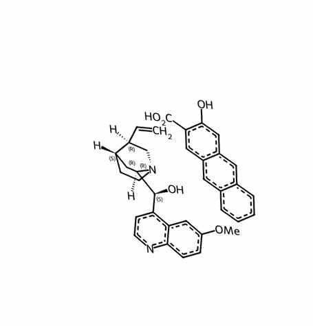 C=C[C@H]1C[N@]2CC[C@H]1C[C@@H]2[C@@H](O)c1ccnc2ccc(OC)cc12.O=C(O)c1cc2cc3ccccc3cc2cc1O